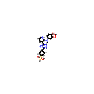 CN(c1ccc2c(c1)OCO2)c1ncccc1-c1nnc(-c2ccc(S(C)(=O)=O)cc2)[nH]1